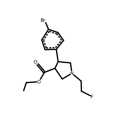 CCOC(=O)C1CN(CCF)CC1c1ccc(Br)cc1